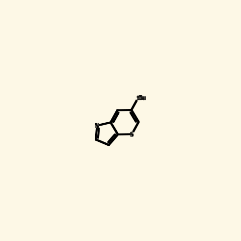 CC(C)(C)c1csc2ccnc-2c1